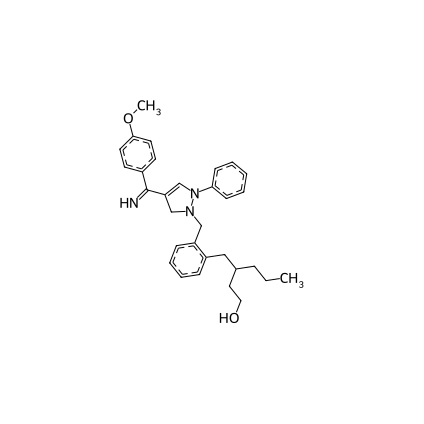 CCCC(CCO)Cc1ccccc1CN1CC(C(=N)c2ccc(OC)cc2)=CN1c1ccccc1